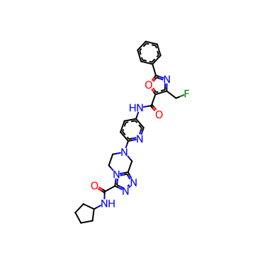 O=C(Nc1ccc(N2CCn3c(nnc3C(=O)NC3CCCC3)C2)nc1)c1oc(-c2ccccc2)nc1CF